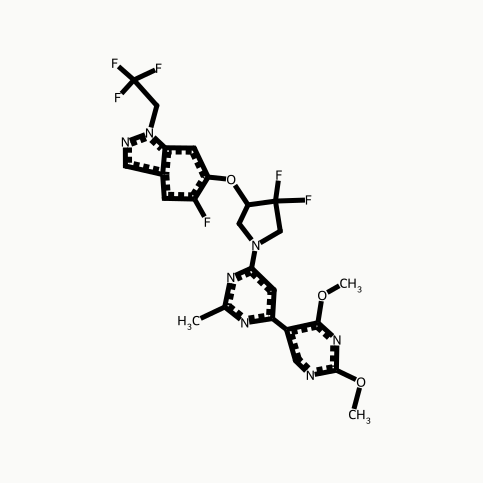 COc1ncc(-c2cc(N3CC(Oc4cc5c(cnn5CC(F)(F)F)cc4F)C(F)(F)C3)nc(C)n2)c(OC)n1